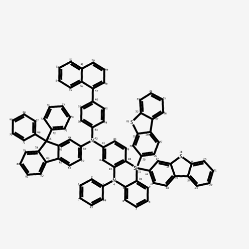 c1ccc(N2c3ccccc3[Si](c3ccc4c(c3)sc3ccccc34)(c3ccc4c(c3)sc3ccccc34)c3ccc(N(c4ccc(-c5cccc6ccccc56)cc4)c4ccc5c(c4)C(c4ccccc4)(c4ccccc4)c4ccccc4-5)cc32)cc1